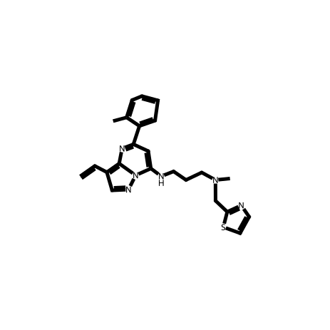 C=Cc1cnn2c(NCCCN(C)Cc3nccs3)cc(-c3ccccc3C)nc12